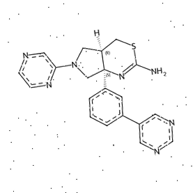 NC1=N[C@@]2(c3cccc(-c4cncnc4)c3)CN(c3cnccn3)C[C@H]2CS1